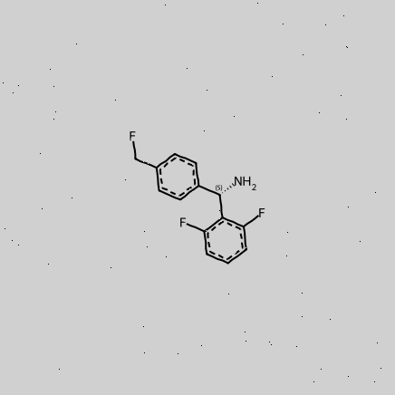 N[C@@H](c1ccc(CF)cc1)c1c(F)cccc1F